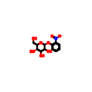 O=[N+]([O-])c1ccccc1O[C@H]1O[C@H](CO)[C@@H](O)[C@H](O)[C@@H]1O